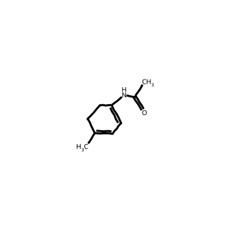 CC(=O)NC1=CC=C(C)CC1